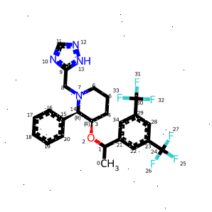 CC(O[C@@H]1CCCN(Cc2ncn[nH]2)[C@@H]1c1ccccc1)c1cc(C(F)(F)F)cc(C(F)(F)F)c1